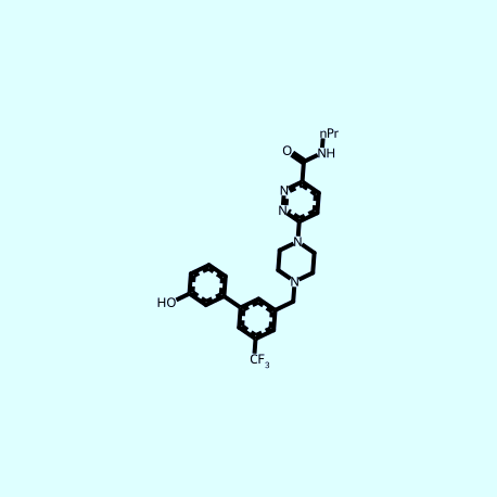 CCCNC(=O)c1ccc(N2CCN(Cc3cc(-c4cccc(O)c4)cc(C(F)(F)F)c3)CC2)nn1